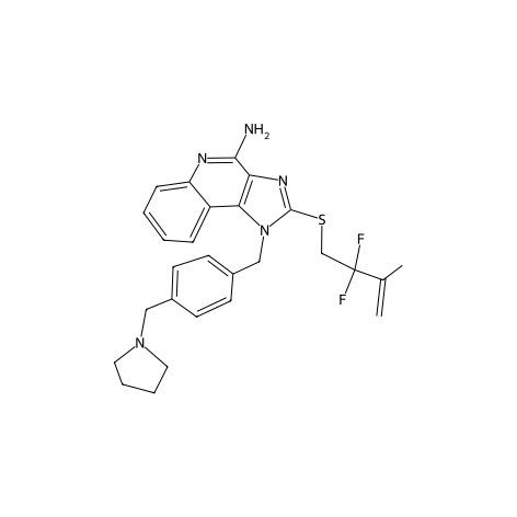 C=C(C)C(F)(F)CSc1nc2c(N)nc3ccccc3c2n1Cc1ccc(CN2CCCC2)cc1